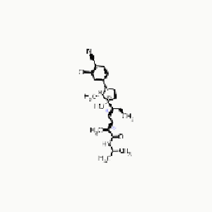 C=C/C(=C\C=C(/C)C(=O)NC(C)C)[C@]1(O)CCN(c2ccc(C#N)c(Cl)c2)[C@H]1C